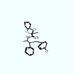 CC(NC(=O)C(C)(C)Oc1ccccc1Cl)C(Cc1ccc(Cl)cc1)c1ccccc1